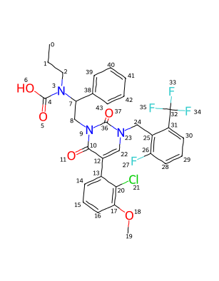 CCCN(C(=O)O)C(Cn1c(=O)c(-c2cccc(OC)c2Cl)cn(Cc2c(F)cccc2C(F)(F)F)c1=O)c1ccccc1